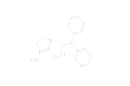 BCC(c1ccccc1)c1ccccc1.CCc1nccn1C(C)(C)C